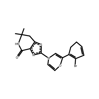 CC1(C)Cc2sc(N3C=COC(C4=C(Br)C=CCC4)=C3)nc2C(=O)N1